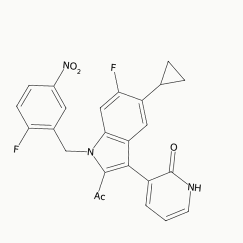 CC(=O)c1c(-c2ccc[nH]c2=O)c2cc(C3CC3)c(F)cc2n1Cc1cc([N+](=O)[O-])ccc1F